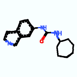 O=C(Nc1ccc2ccncc2c1)NC1CCCCCC1